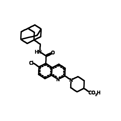 O=C(NCC12CC3CC(CC(C3)C1)C2)c1c(Cl)ccc2nc(N3CCC(C(=O)O)CC3)ccc12